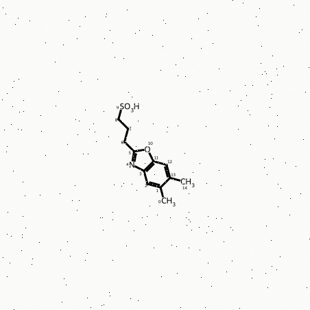 Cc1[c]c2nc(CCCS(=O)(=O)O)oc2cc1C